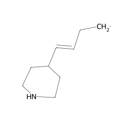 [CH2]CC=CC1CCNCC1